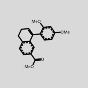 COC(=O)c1ccc2c(c1)C(c1ccc(OC)cc1OC)=CCC2